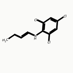 [CH2]C/C=C/Nc1c(Cl)cc(Cl)cc1Cl